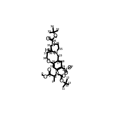 COC(=O)C(C)N(C(=O)OC(C)(C)C)c1cc2c(cc1[N+](=O)[O-])CN1CCN(C(=O)OC(C)(C)C)C[C@H]1CCO2